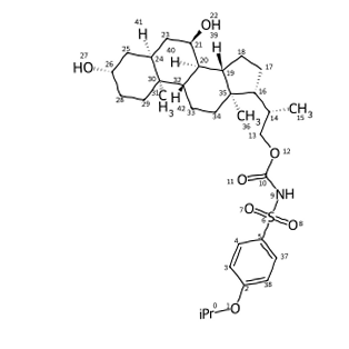 CC(C)Oc1ccc(S(=O)(=O)NC(=O)OC[C@@H](C)[C@H]2CC[C@H]3[C@@H]4[C@H](O)C[C@@H]5C[C@@H](O)CC[C@]5(C)[C@H]4CC[C@]23C)cc1